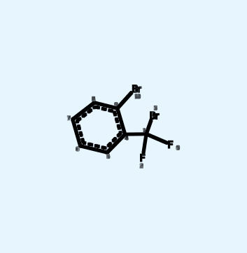 FC(F)(Br)c1ccccc1Br